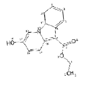 CCOC(=O)c1c2ccccc2n2cc(O)ccc12